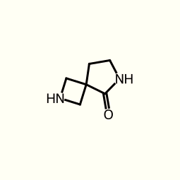 O=C1NCCC12CNC2